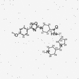 COc1ccc(-c2noc(N3CCC(C(=O)NC[C@@H]4CCN(CC5CCN(C)CC5)C4)CC3)n2)cc1